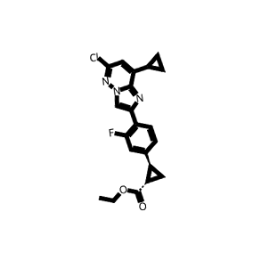 CCOC(=O)[C@H]1C[C@@H]1c1ccc(-c2cn3nc(Cl)cc(C4CC4)c3n2)c(F)c1